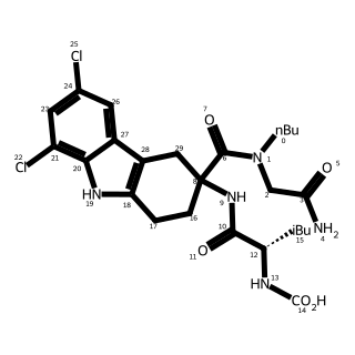 CCCCN(CC(N)=O)C(=O)C1(NC(=O)[C@@H](NC(=O)O)C(C)CC)CCc2[nH]c3c(Cl)cc(Cl)cc3c2C1